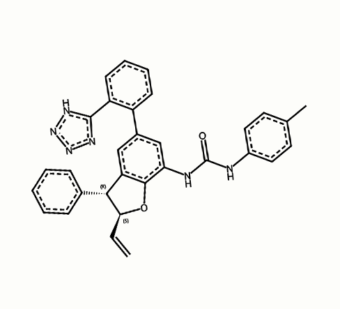 C=C[C@@H]1Oc2c(NC(=O)Nc3ccc(C)cc3)cc(-c3ccccc3-c3nnn[nH]3)cc2[C@H]1c1ccccc1